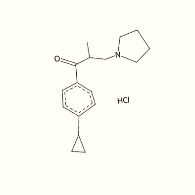 CC(CN1CCCC1)C(=O)c1ccc(C2CC2)cc1.Cl